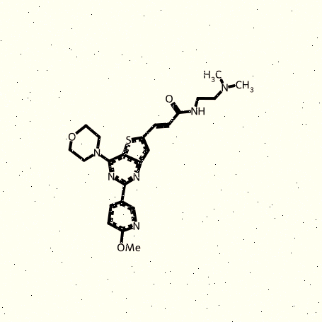 COc1ccc(-c2nc(N3CCOCC3)c3sc(/C=C/C(=O)NCCN(C)C)cc3n2)cn1